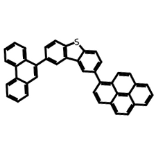 c1ccc2c(c1)cc(-c1ccc3sc4ccc(-c5ccc6ccc7cccc8ccc5c6c78)cc4c3c1)c1ccccc12